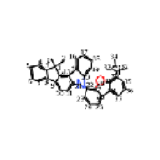 CC1(C)c2ccccc2-c2ccc3c(c21)c1ccccc1n3-c1cccc2c1oc1c([Si](C)(C)C)cccc12